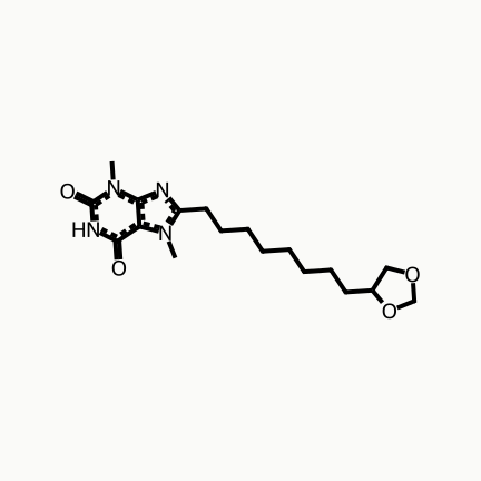 Cn1c(CCCCCCCCC2COCO2)nc2c1c(=O)[nH]c(=O)n2C